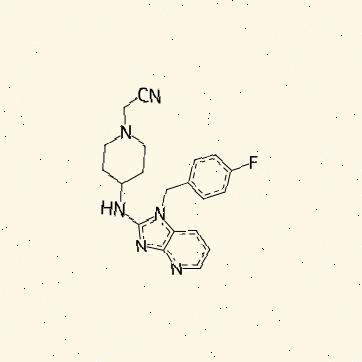 N#CCN1CCC(Nc2nc3ncccc3n2Cc2ccc(F)cc2)CC1